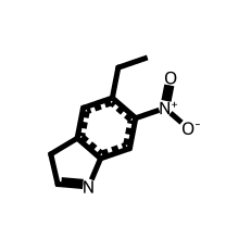 CCc1cc2c(cc1[N+](=O)[O-])N=CC2